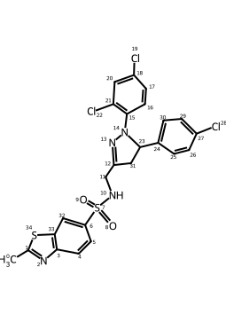 Cc1nc2ccc(S(=O)(=O)NCC3=NN(c4ccc(Cl)cc4Cl)C(c4ccc(Cl)cc4)C3)cc2s1